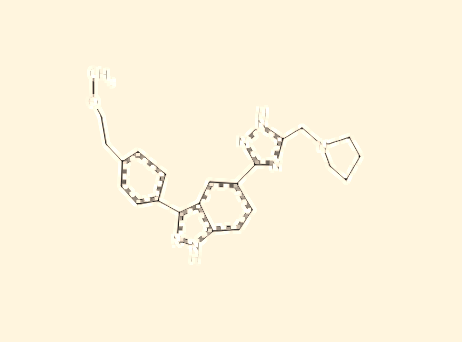 COCCc1ccc(-c2n[nH]c3ccc(-c4n[nH]c(CN5CCCC5)n4)cc23)cc1